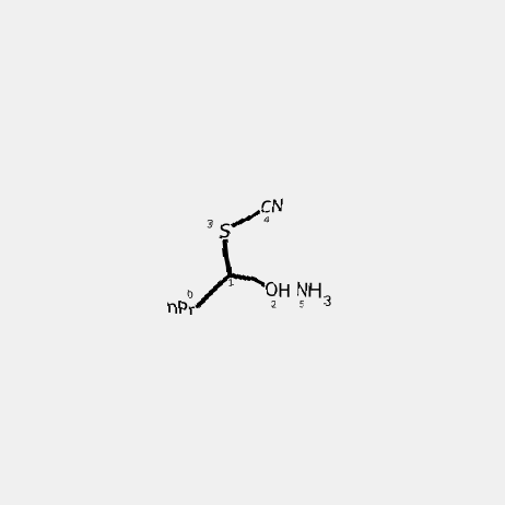 CCCC(O)SC#N.N